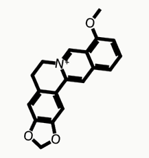 COc1cccc2cc3[n+](cc12)CCc1cc2c(cc1-3)OCO2